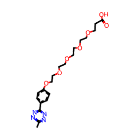 Cc1nnc(-c2ccc(OCCOCCOCCOCCOCCC(=O)O)cc2)nn1